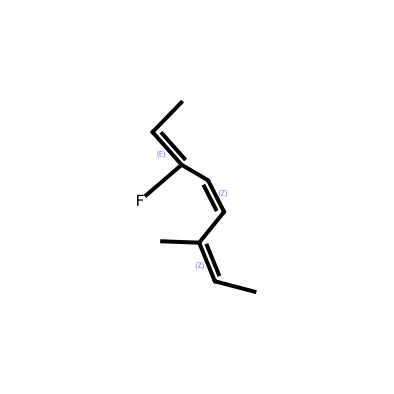 C\C=C(C)/C=C\C(F)=C/C